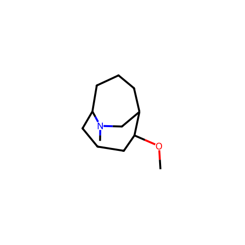 COC1CCCC2CCCC1CN2C